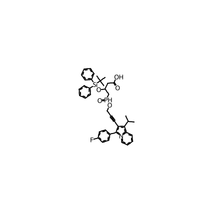 CC(C)c1c(C#CCO[PH](=O)CC(CC(=O)O)O[Si](c2ccccc2)(c2ccccc2)C(C)(C)C)c(-c2ccc(F)cc2)n2ccccc12